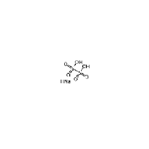 O=S(=O)(O)S(=O)(=O)O.[NaH]